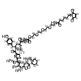 CCCOC(CC(C(C)C)N(CCC)C(=O)[C@@H](NC(=O)[C@H]1CCCCN1C)[C@@H](C)CC)c1nc(C(=O)N[C@@H](Cc2ccc(O)cc2)C[C@H](C)C(=O)NNC(=O)OCCOCCOCCOCCNC(=O)CCCCCN2C(=O)C=CC2=O)cs1